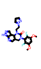 COc1cc(OC)c(F)c(N2Cc3cnc4[nH]ncc4c3N(CCn3cccn3)C2=O)c1F